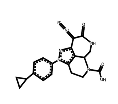 [N-]=[N+]=C1C(=O)NCC2c3c1nn(-c1ccc(C4CC4)cc1)c3CCN2C(=O)O